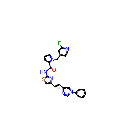 O=C(Nc1nc(/C=C/c2cn(-c3ccccc3)cn2)cs1)c1cccn1Cc1ccnc(F)c1